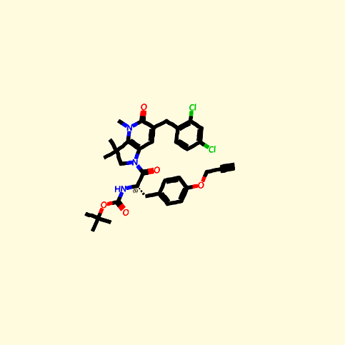 C#CCOc1ccc(C[C@H](NC(=O)OC(C)(C)C)C(=O)N2CC(C)(C)c3c2cc(Cc2ccc(Cl)cc2Cl)c(=O)n3C)cc1